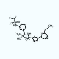 CCOc1cncc(-c2cnc(C(=O)N[C@@H](c3cccc(NS(=O)(=O)C(F)F)c3)C(C)(C)O)s2)n1